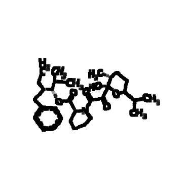 CC[C@H](Cc1ccccc1)[C@@H](OC(=O)[C@@H]1CCCCN1C(=O)C(=O)[C@]1(O)OC(C(C)C)CC[C@H]1C)C(C)C